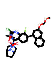 COCOc1cc(-c2ccc3c(N4CC5CCC(C4)N5C(=O)OC(C)(C)C)nc(Cl)nc3c2F)c2ccccc2c1